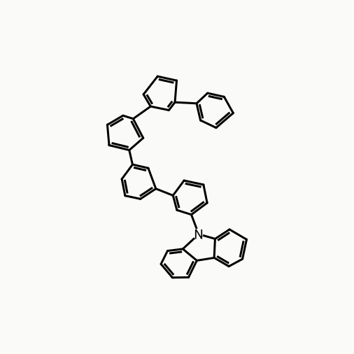 c1ccc(-c2cccc(-c3cccc(-c4cccc(-c5cccc(-n6c7ccccc7c7ccccc76)c5)c4)c3)c2)cc1